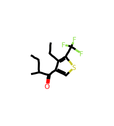 CCc1c(C(=O)C(C)CC)csc1C(F)(F)F